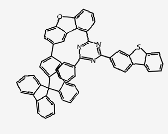 c1ccc(-c2nc(-c3ccc4c(c3)sc3ccccc34)nc(-c3cccc4oc5ccc(-c6ccc7c(c6)-c6ccccc6C76c7ccccc7-c7ccccc76)cc5c34)n2)cc1